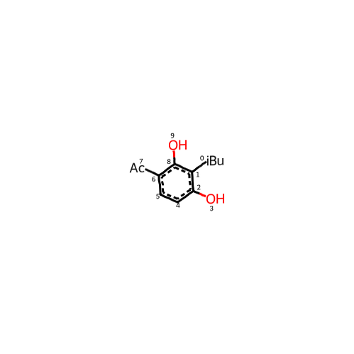 CCC(C)c1c(O)ccc(C(C)=O)c1O